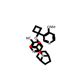 COc1ccncc1C1(OCC(=O)N2CC3CCC(C2)N3c2ccc(C#N)cn2)CCC1